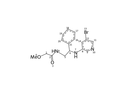 COCC(=O)NCC(Nc1cncc(Br)c1)c1ccccc1